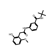 COc1cccc(O)c1CC(=O)Nc1cccc(C(=O)NC(C)(C)C)c1